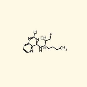 CCCC[C@@H](Nc1nc(Cl)nc2cccnc12)C(O)CF